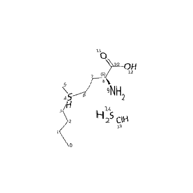 CCCC[SH](C)CC[C@H](N)C(=O)O.Cl.S